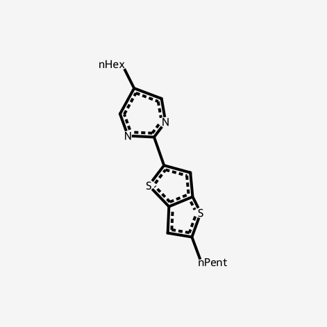 CCCCCCc1cnc(-c2cc3sc(CCCCC)cc3s2)nc1